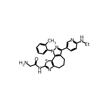 CCNc1ccc(-c2nn(-c3ccccc3C)c3c2CCCc2nc(NC(=O)CN)sc2-3)cn1